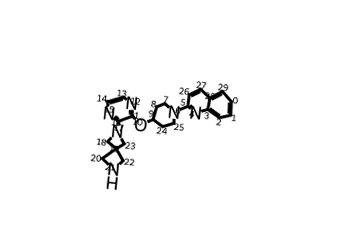 c1ccc2nc(N3CCC(Oc4nccnc4N4CC5(CNC5)C4)CC3)ccc2c1